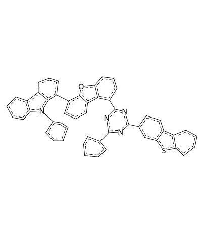 c1ccc(-c2nc(-c3ccc4c(c3)sc3ccccc34)nc(-c3cccc4oc5c(-c6cccc7c8ccccc8n(-c8ccccc8)c67)cccc5c34)n2)cc1